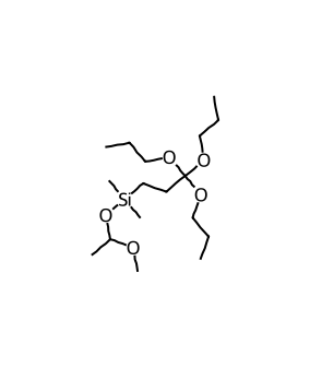 CCCOC(CC[Si](C)(C)OC(C)OC)(OCCC)OCCC